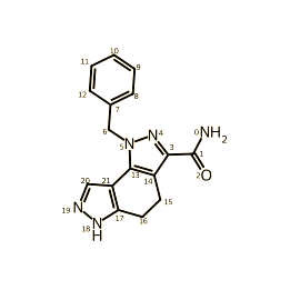 NC(=O)c1nn(Cc2ccccc2)c2c1CCc1[nH]ncc1-2